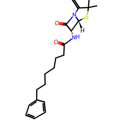 C=C1N2C(=O)[C@@H](NC(=O)CCCCCCc3ccccc3)[C@H]2SC1(C)C